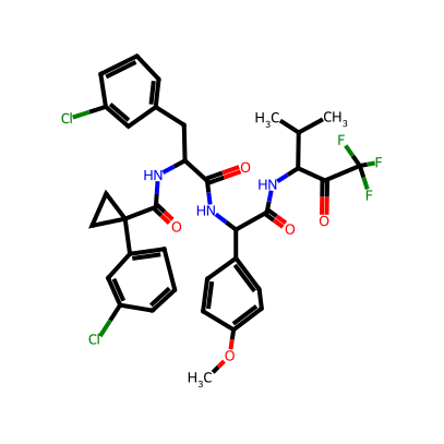 COc1ccc(C(NC(=O)C(Cc2cccc(Cl)c2)NC(=O)C2(c3cccc(Cl)c3)CC2)C(=O)NC(C(=O)C(F)(F)F)C(C)C)cc1